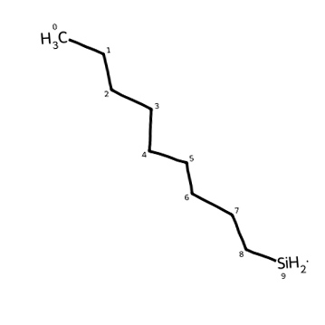 CCCCCCCCC[SiH2]